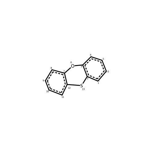 [c]1[c]c2c(cc1)Oc1ccccc1S2